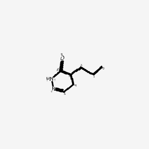 CCCC1CC=NNC1=O